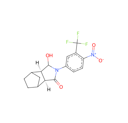 O=C1[C@H]2C3CCC(C3)[C@H]2C(O)N1c1ccc([N+](=O)[O-])c(C(F)(F)F)c1